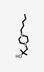 CCCCCN1CCN(CC(C)(C)O)CC1